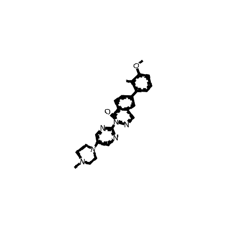 COc1cccc(-c2ccc3c(=O)n(-c4ncc(N5CCN(C)CC5)cn4)ncc3c2)c1C